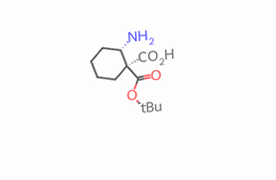 CC(C)(C)OC(=O)[C@@]1(C(=O)O)CCCC[C@@H]1N